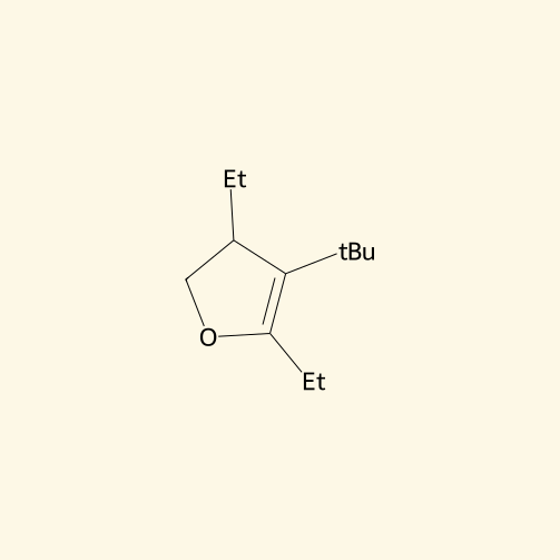 CCC1=C(C(C)(C)C)C(CC)CO1